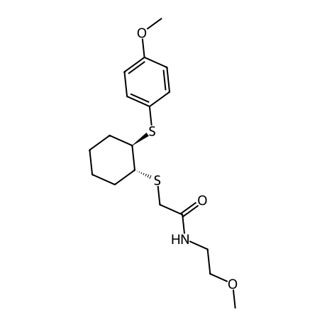 COCCNC(=O)CS[C@@H]1CCCC[C@H]1Sc1ccc(OC)cc1